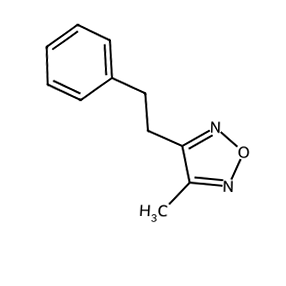 Cc1nonc1CCc1ccccc1